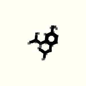 Nc1ccc(OC(F)F)c(OC(F)F)c1